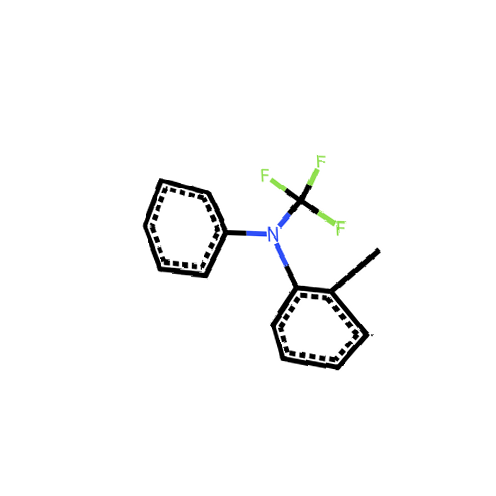 Cc1[c]cccc1N(c1ccccc1)C(F)(F)F